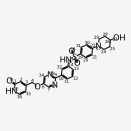 O=c1cc(COc2cnc(-c3cccc(NS(=O)(=O)c4ccc(N5CCC(O)CC5)cc4)c3)nc2)cc[nH]1